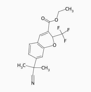 CCOC(=O)C1=Cc2ccc(C(C)(C)C#N)cc2OC1C(F)(F)F